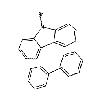 Brn1c2ccccc2c2ccccc21.c1ccc(-c2ccccc2)cc1